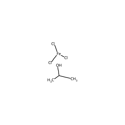 CC(C)O.[Cl][Fe]([Cl])[Cl]